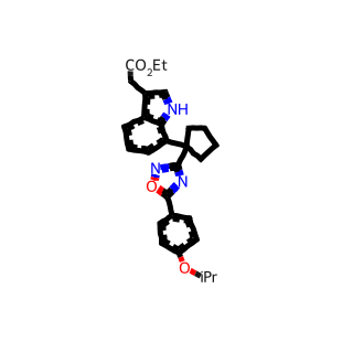 CCOC(=O)Cc1c[nH]c2c(C3(c4noc(-c5ccc(OC(C)C)cc5)n4)CCCC3)cccc12